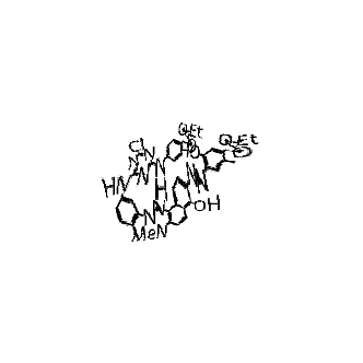 CCS(=O)(=O)c1ccc(Nc2nc(Cl)nc(Nc3ccc(C)c(/N=N/c4c(NC)ccc5c(O)c(/N=N/c6cc(C)c(S(=O)(=O)CC)cc6O)ccc45)c3)n2)cc1